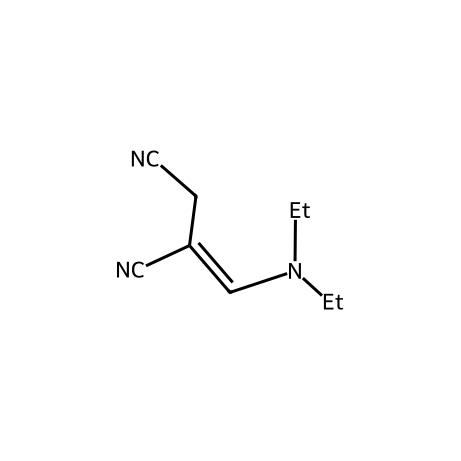 CCN(C=C(C#N)CC#N)CC